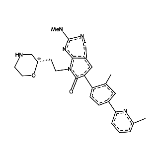 CNc1ncc2cc(-c3ccc(-c4cccc(C)n4)cc3C)c(=O)n(CC[C@H]3CNCCO3)c2n1